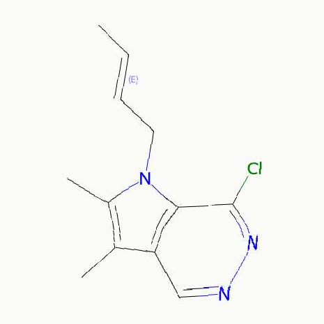 C/C=C/Cn1c(C)c(C)c2cnnc(Cl)c21